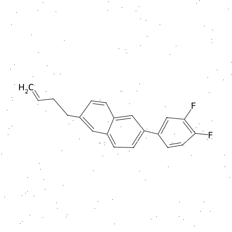 C=CCCc1ccc2cc(-c3ccc(F)c(F)c3)ccc2c1